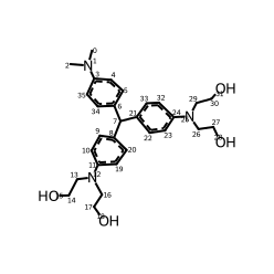 CN(C)c1ccc(C(c2ccc(N(CCO)CCO)cc2)c2ccc(N(CCO)CCO)cc2)cc1